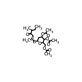 CCC(C)C(=O)CN(C)OC1CC(OC(C)=O)C(OC(C)=O)C(COC(C)=O)O1